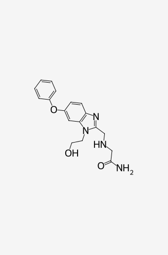 NC(=O)CNCc1nc2ccc(Oc3ccccc3)cc2n1CCO